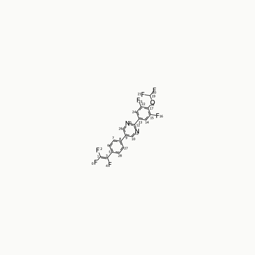 FC(F)=C(F)c1ccc(-c2cnc(-c3cc(F)c(OC(F)F)c(F)c3)nc2)cc1